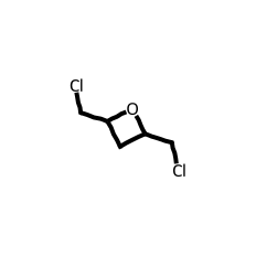 ClCC1CC(CCl)O1